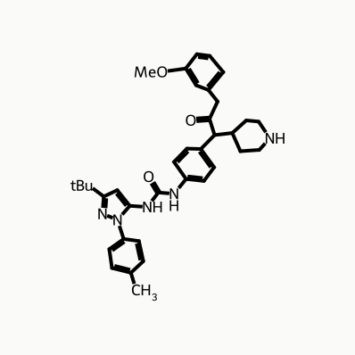 COc1cccc(CC(=O)C(c2ccc(NC(=O)Nc3cc(C(C)(C)C)nn3-c3ccc(C)cc3)cc2)C2CCNCC2)c1